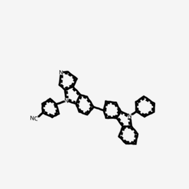 N#Cc1ccc(-n2c3ccc(-c4ccc5c(c4)c4ccccc4n5-c4ccccc4)cc3c3ccncc32)cc1